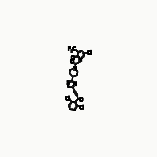 O=C(C#Cc1csc(C2CCN(C(=O)Cn3cc(Cl)cc(C(F)(F)F)c3=O)CC2)n1)c1c(Cl)cccc1Cl